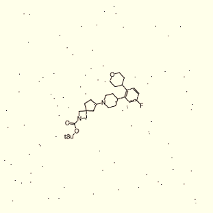 CC(C)(C)OC(=O)N1CC2(CCC(N3CCC(c4cc(F)ccc4C4CCOCC4)CC3)C2)C1